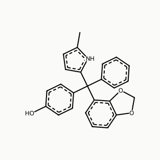 Cc1ccc(C(c2ccccc2)(c2ccc(O)cc2)c2cccc3c2OCO3)[nH]1